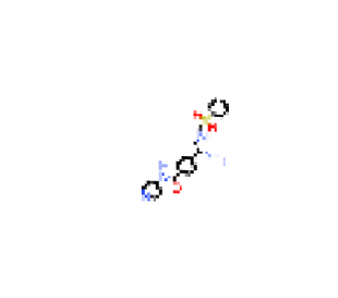 NC(CNCS(=O)(=O)c1ccccc1)c1ccc(C(=O)Nc2ccncc2)cc1